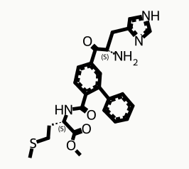 COC(=O)[C@H](CCSC)NC(=O)c1ccc(C(=O)[C@@H](N)Cc2c[nH]cn2)cc1-c1ccccc1